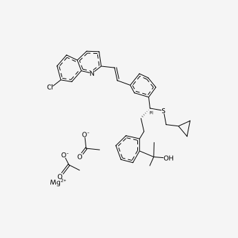 CC(=O)[O-].CC(=O)[O-].CC(C)(O)c1ccccc1CC[C@@H](SCC1CC1)c1cccc(C=Cc2ccc3ccc(Cl)cc3n2)c1.[Mg+2]